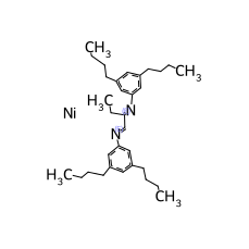 CCCCc1cc(CCCC)cc(/N=C/C(CC)=N/c2cc(CCCC)cc(CCCC)c2)c1.[Ni]